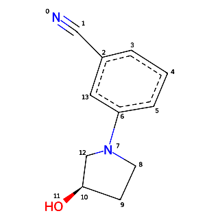 N#Cc1cccc(N2CC[C@@H](O)C2)c1